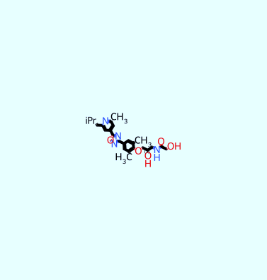 Cc1cc(-c2nc(-c3cc(C)c(OC[C@@H](O)CNC(=O)CO)c(C)c3)no2)cc(CC(C)C)n1